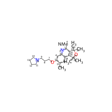 CNc1nc2cc(OCCCN3CCCC3)c(C)cc2c2c1C(C)(C)OC2(C)C